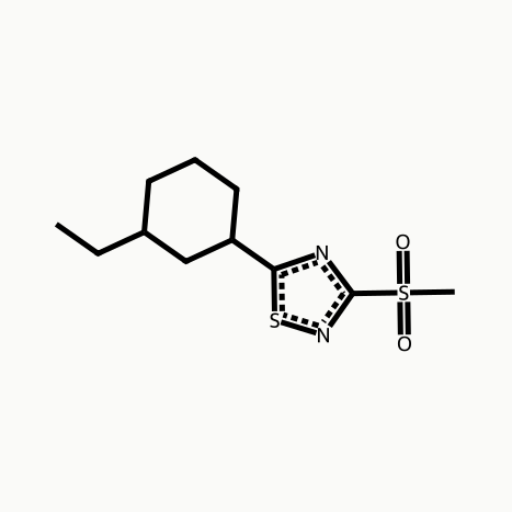 CCC1CCCC(c2nc(S(C)(=O)=O)ns2)C1